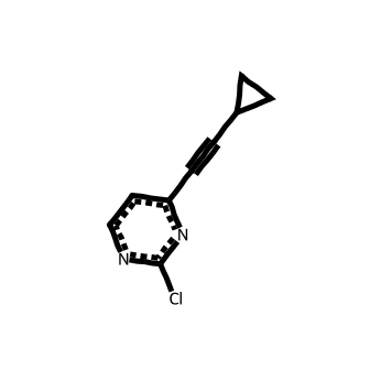 Clc1nccc(C#CC2CC2)n1